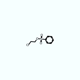 O=S(=O)(OCCCl)c1ccccc1